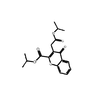 CC(C)OC(=O)Cc1c(C(=O)OC(C)C)oc2ccccc2c1=O